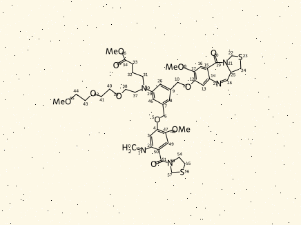 C=Nc1cc(OCc2cc(COc3cc4c(cc3OC)C(=O)N3CSCC3C=N4)cc(N(CCCC(=O)OC)CCOCCOCCOC)c2)c(OC)cc1C(=O)N1CCSC1